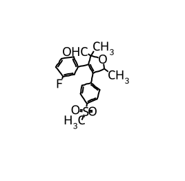 CC1OC(C)(C=O)C(c2cccc(F)c2)=C1c1ccc(S(C)(=O)=O)cc1